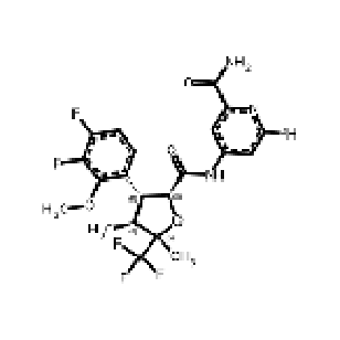 [2H]c1cc(NC(=O)[C@H]2O[C@](C)(C(F)(F)F)[C@@H](C)[C@@H]2c2ccc(F)c(F)c2OC)cc(C(N)=O)n1